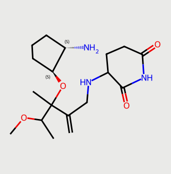 C=C(CNC1CCC(=O)NC1=O)C(C)(O[C@H]1CCC[C@@H]1N)C(C)OC